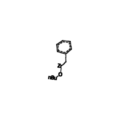 CCCC[O][Zr][CH2]c1ccccc1